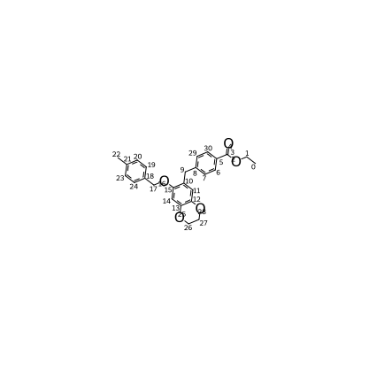 CCOC(=O)c1ccc(Cc2cc3c(cc2OCc2ccc(C)cc2)OCCO3)cc1